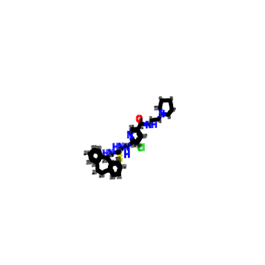 O=C(NCCN1CCCCC1)c1cnc(NNC(=S)NC2c3ccccc3CCc3ccccc32)c(Cl)c1